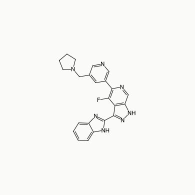 Fc1c(-c2cncc(CN3CCCC3)c2)ncc2[nH]nc(-c3nc4ccccc4[nH]3)c12